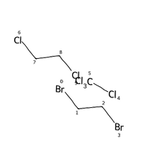 BrCCBr.ClC(Cl)(Cl)Cl.ClCCCl